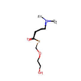 CCN(CC)CCC(=O)SCOCCO